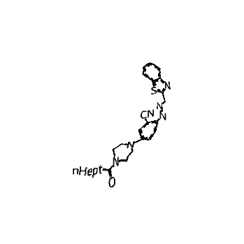 CCCCCCCC(=O)N1CCN(c2ccc(N=NCc3nc4ccccc4s3)c(C#N)c2)CC1